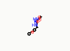 CC(C)(C)OC(=O)Nc1nnc(CNC2CC2c2ccc(OCc3ccccc3)cc2)o1